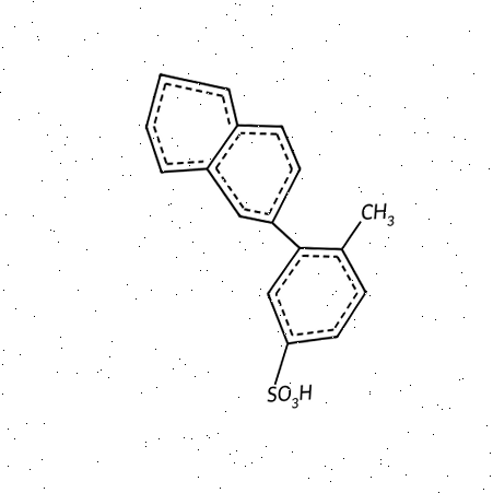 Cc1ccc(S(=O)(=O)O)cc1-c1ccc2ccccc2c1